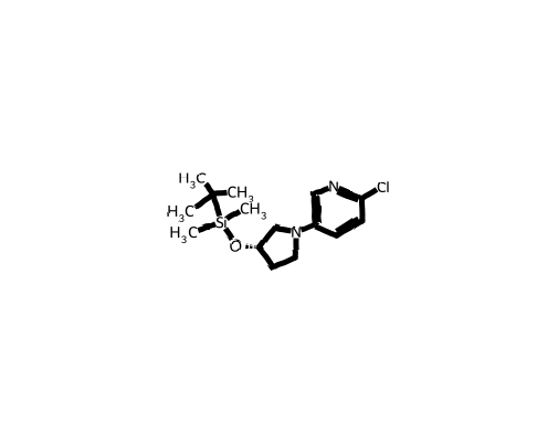 CC(C)(C)[Si](C)(C)O[C@H]1CCN(c2ccc(Cl)nc2)C1